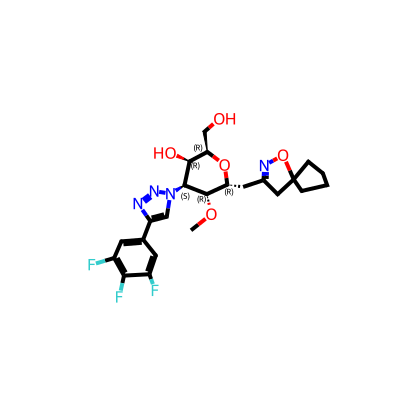 CO[C@@H]1[C@@H](n2cc(-c3cc(F)c(F)c(F)c3)nn2)[C@@H](O)[C@@H](CO)O[C@@H]1CC1=NOC2(CCCC2)C1